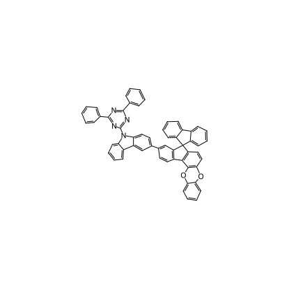 c1ccc(-c2nc(-c3ccccc3)nc(-n3c4ccccc4c4cc(-c5ccc6c(c5)C5(c7ccccc7-c7ccccc75)c5ccc7c(c5-6)Oc5ccccc5O7)ccc43)n2)cc1